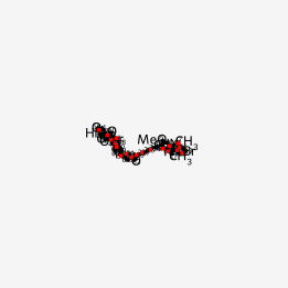 COc1cc2c(N[C@H](C)c3cccc(Br)c3)nc(C)nc2cc1OCCCCCCCCC(=O)N1CCC(CN2CCN(c3cc4c(cc3F)C(=O)N(C3CCC(=O)NC3=O)C4=O)CC2)CC1